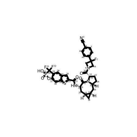 N#Cc1ccc(C2(F)CN(C(=O)[C@@H]3CC[C@@H]4C[C@H]5C[C@H]5C[C@H](NC(=O)c5cc6cc(C(F)(F)P(=O)(O)O)ccc6s5)C(=O)N43)C2)cc1